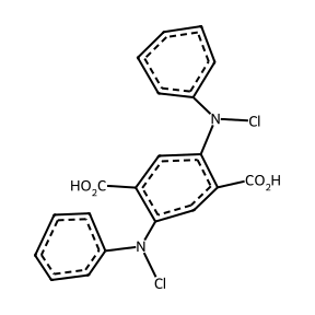 O=C(O)c1cc(N(Cl)c2ccccc2)c(C(=O)O)cc1N(Cl)c1ccccc1